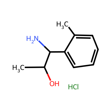 Cc1ccccc1C(N)C(C)O.Cl